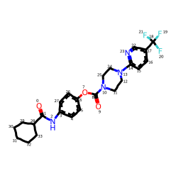 O=C(Nc1ccc(OC(=O)N2CCN(c3ccc(C(F)(F)F)cn3)CC2)cc1)C1CCCCC1